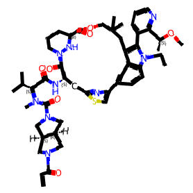 C=CC(=O)N1C[C@@H]2CN(C(=O)N(C)[C@H](C(=O)N[C@H]3Cc4nc(cs4)-c4ccc5c(c4)c(c(-c4cccnc4[C@H](C)OC)n5CC)CC(C)(C)COC[C@@]4(C=O)CCCN(N4)C3=O)C(C)C)C[C@@H]2C1